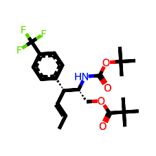 C/C=C/[C@H](c1ccc(C(F)(F)F)cc1)[C@@H](COC(=O)C(C)(C)C)NC(=O)OC(C)(C)C